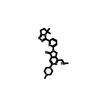 CNCc1nc(N2CCN(C)CC2)cc2c1CN(c1cccc(-c3nnc4n3C(C)(C)CC4)n1)C2=O